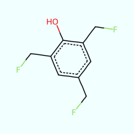 Oc1c(CF)cc(CF)cc1CF